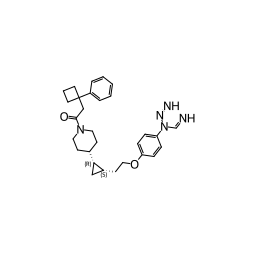 N=CN(N=N)c1ccc(OCC[C@@H]2C[C@@H]2C2CCN(C(=O)CC3(c4ccccc4)CCC3)CC2)cc1